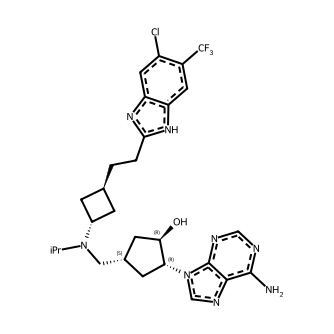 CC(C)N(C[C@@H]1C[C@@H](O)[C@H](n2cnc3c(N)ncnc32)C1)[C@H]1C[C@H](CCc2nc3cc(Cl)c(C(F)(F)F)cc3[nH]2)C1